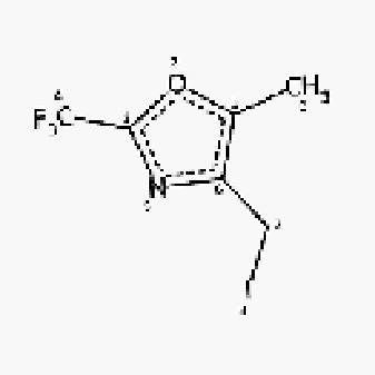 Cc1oc(C(F)(F)F)nc1CI